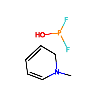 CN1C=CC=CC1.OP(F)F